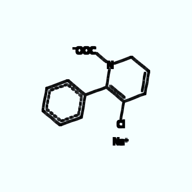 O=C([O-])N1CC=CC(Cl)=C1c1ccccc1.[Na+]